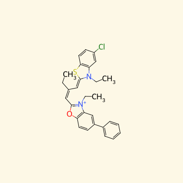 CCC(=Cc1oc2ccc(-c3ccccc3)cc2[n+]1CC)C=C1Sc2ccc(Cl)cc2N1CC